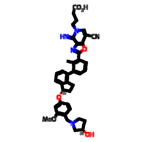 COc1cc(O[C@H]2CCc3c(-c4cccc(-c5nc6c(=N)n(CCCC(=O)O)cc(C#N)c6o5)c4C)cccc32)ccc1CN1CC[C@@H](O)C1